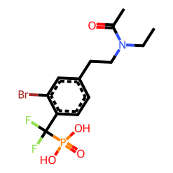 CCN(CCc1ccc(C(F)(F)P(=O)(O)O)c(Br)c1)C(C)=O